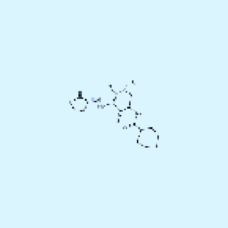 CC1CC(NC(=O)C2CCCCC2)C(=O)C(N/N=C2/NCCS2)=C1O